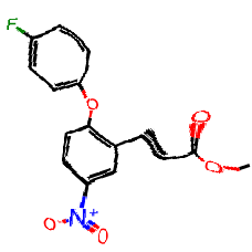 COC(=O)/C=C/c1cc([N+](=O)[O-])ccc1Oc1ccc(F)cc1